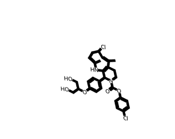 C/C1=C\CC(Cl)/C=C(\C)C2=C(N1)C(c1ccc(OC(CO)CO)cc1)N(C(=O)Oc1ccc(Cl)cc1)CC2